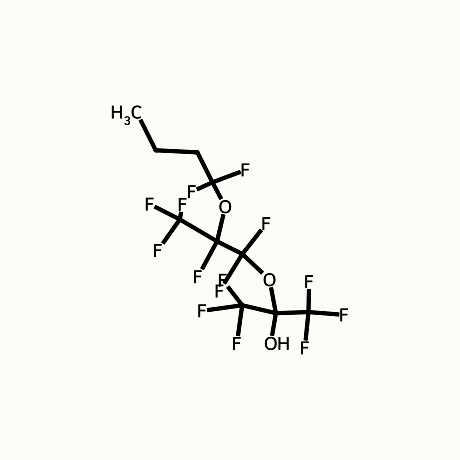 CCCC(F)(F)OC(F)(C(F)(F)F)C(F)(F)OC(O)(C(F)(F)F)C(F)(F)F